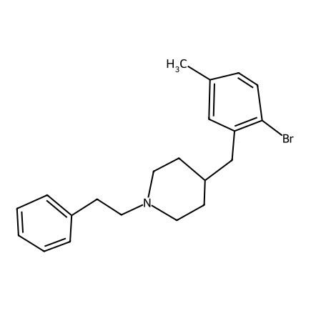 Cc1ccc(Br)c(CC2CCN(CCc3ccccc3)CC2)c1